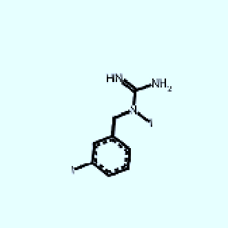 N=C(N)N(I)Cc1cccc(I)c1